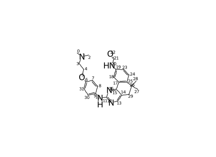 CN(C)CCOc1ccc(Nc2ncc3c(n2)-c2cc(NC=O)ccc2C(C)(C)C3)cc1